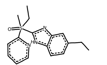 CCc1ccc2[nH]c(S(C)(=O)(CC)c3ccccn3)nc2c1